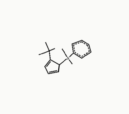 CC(C)(C)C1=CC=C[C]1[Si](C)(C)c1ccccc1